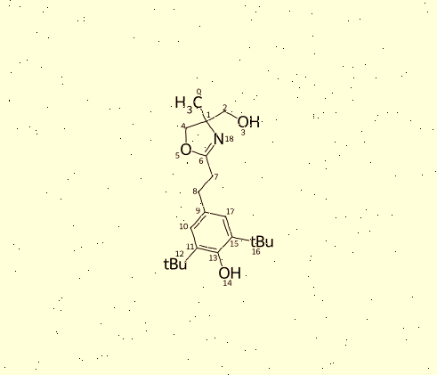 CC1(CO)COC(CCc2cc(C(C)(C)C)c(O)c(C(C)(C)C)c2)=N1